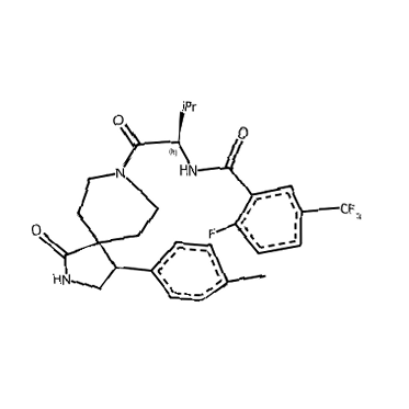 Cc1ccc(C2CNC(=O)C23CCN(C(=O)[C@H](NC(=O)c2cc(C(F)(F)F)ccc2F)C(C)C)CC3)cc1